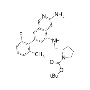 Cc1cccc(F)c1-c1cc(NC[C@@H]2CCCN2C(=O)OC(C)(C)C)c2cc(N)ncc2c1